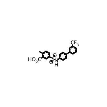 Cc1ccc(S(=O)(=O)Nc2ccc(-c3cccc(C(F)(F)F)c3)cc2)cc1C(=O)O